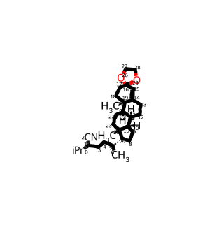 CC(C)C(C#N)CCC(C)[C@H]1CC[C@H]2[C@@H]3CCC4=CC5(CC[C@]4(C)[C@H]3CC[C@]12C)OCCO5